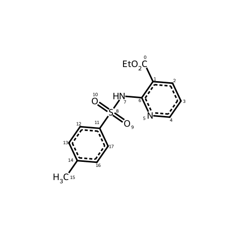 CCOC(=O)c1cccnc1NS(=O)(=O)c1ccc(C)cc1